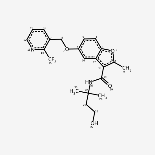 Cc1oc2ccc(OCc3cccnc3C(F)(F)F)cc2c1C(=O)NC(C)(C)CCO